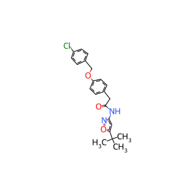 CC(C)(C)c1cc(NC(=O)Cc2ccc(OCc3ccc(Cl)cc3)cc2)no1